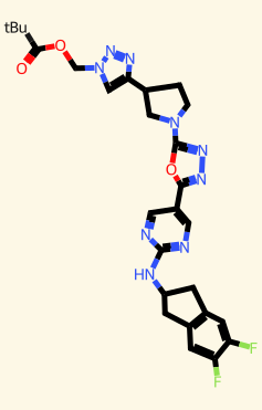 CC(C)(C)C(=O)OCn1cc(C2CCN(c3nnc(-c4cnc(NC5Cc6cc(F)c(F)cc6C5)nc4)o3)C2)nn1